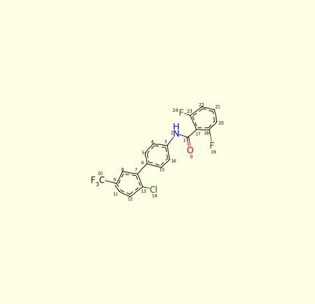 O=C(Nc1ccc(-c2cc(C(F)(F)F)ccc2Cl)cc1)c1c(F)cccc1F